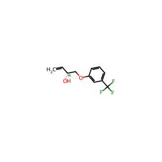 C=C[C@@H](O)COc1cccc(C(F)(F)F)c1